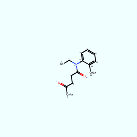 COC(=O)CCC(=O)N(CC#N)c1ccccc1OC